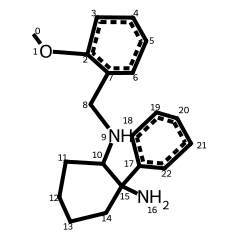 COc1ccccc1CNC1CCCCC1(N)c1ccccc1